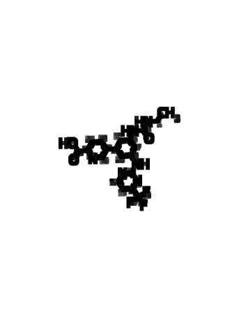 CCNC(=O)Nc1cc(Nc2nccc(C(F)(F)F)n2)cc(-c2ccc(C(=O)O)nc2)c1